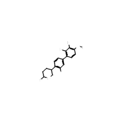 CCOc1ccc(-c2ccc(C3CCC(CC)OC3)c(F)c2)c(F)c1F